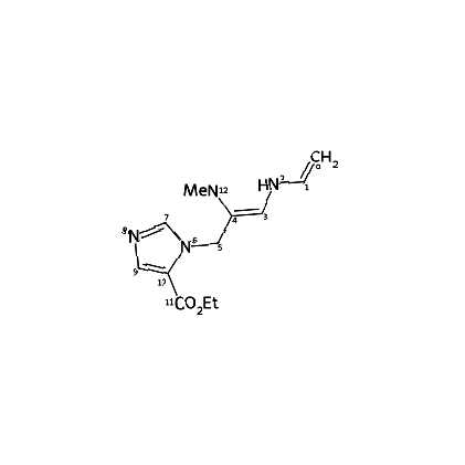 C=CN/C=C(/Cn1cncc1C(=O)OCC)NC